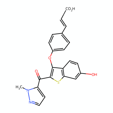 Cn1nccc1C(=O)c1sc2cc(O)ccc2c1Oc1ccc(/C=C/C(=O)O)cc1